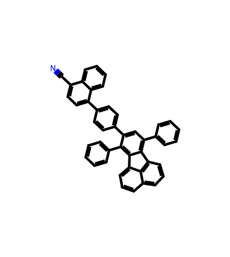 N#Cc1ccc(-c2ccc(-c3cc(-c4ccccc4)c4c(c3-c3ccccc3)-c3cccc5cccc-4c35)cc2)c2ccccc12